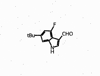 CC(C)(C)c1cc(F)c2c(C=O)c[nH]c2c1